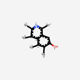 [2H]c1nc([2H])c2cc(O)c([2H])c([2H])c2c1[2H]